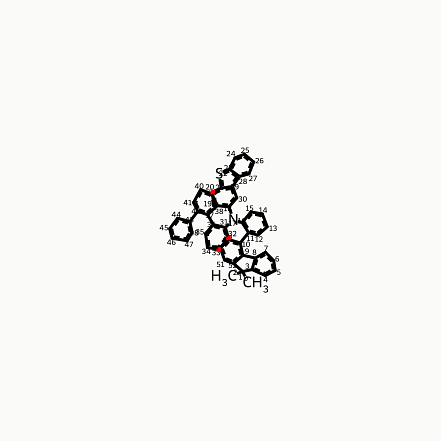 CC1(C)c2ccccc2-c2c(-c3ccccc3N(c3ccc4sc5ccccc5c4c3)c3ccccc3-c3ccccc3-c3ccccc3)cccc21